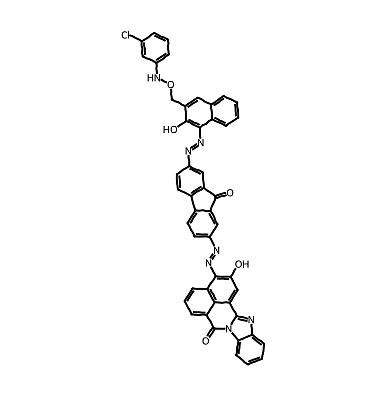 O=C1c2cc(N=Nc3c(O)c(CONc4cccc(Cl)c4)cc4ccccc34)ccc2-c2ccc(N=Nc3c(O)cc4c5c3cccc5c(=O)n3c5ccccc5nc43)cc21